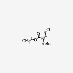 CCCCN(CCCl)C(=O)OCCCl